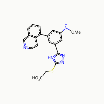 CONc1cc(-c2nnc(SCC(=O)O)[nH]2)cc(-c2cccc3cnccc23)c1